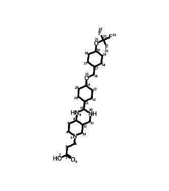 O=C(O)CCN1CCC2NC(C3CCC(OCC4CCC(OC(F)(F)F)CC4)CC3)NCC2C1